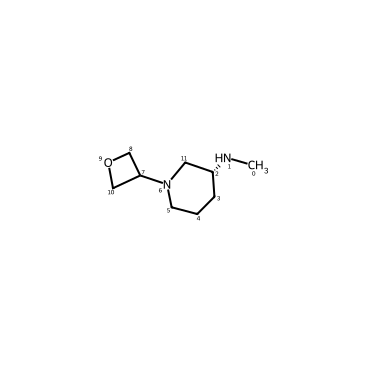 CN[C@@H]1CCCN(C2COC2)C1